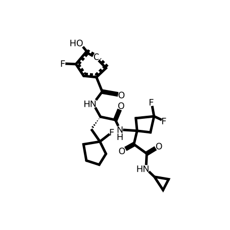 O=C(NC1CC1)C(=O)C1(NC(=O)[C@H](CC2(F)CCCC2)NC(=O)c2ccc(O)c(F)c2)CC(F)(F)C1